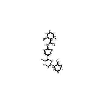 CC1=C(c2cnc(NC(=O)c3c(F)cccc3F)cn2)CN(c2nccnc2Cl)CC1